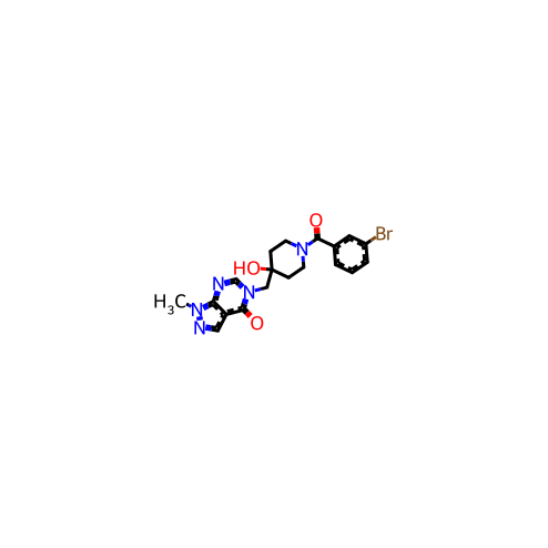 Cn1ncc2c(=O)n(CC3(O)CCN(C(=O)c4cccc(Br)c4)CC3)cnc21